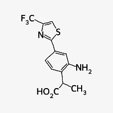 CC(C(=O)O)c1ccc(-c2nc(C(F)(F)F)cs2)cc1N